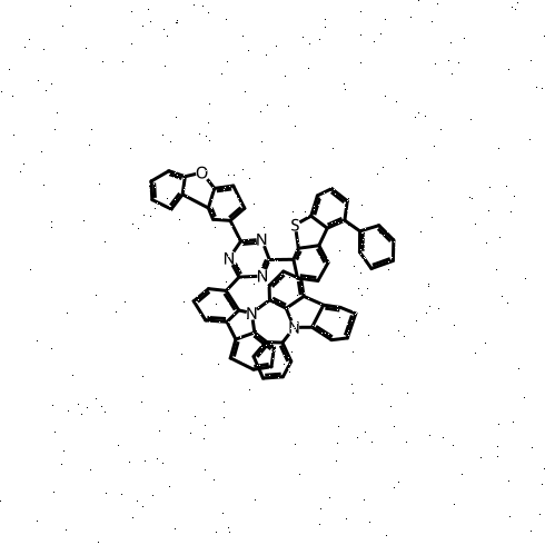 c1ccc(-c2cccc3sc4c(-c5nc(-c6ccc7oc8ccccc8c7c6)nc(-c6cccc7c8ccccc8n(-c8cccc9c%10ccccc%10n(-c%10ccccc%10)c89)c67)n5)cccc4c23)cc1